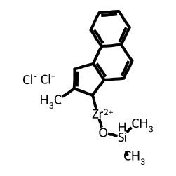 CC1=Cc2c(ccc3ccccc23)[CH]1[Zr+2][O][SiH](C)C.[Cl-].[Cl-]